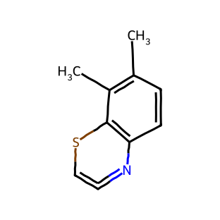 Cc1ccc2c(c1C)SC=C=N2